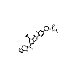 C[C@@H]1c2ccsc2CCN1C(=O)c1cc(C2CC2)c2nc(-c3ccc(N4CC[C@H](C(N)=O)C4)cc3F)cn2c1